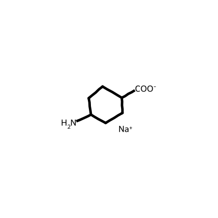 NC1CCC(C(=O)[O-])CC1.[Na+]